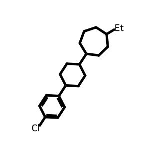 CCC1CCCC(C2CCC(c3ccc(Cl)cc3)CC2)CC1